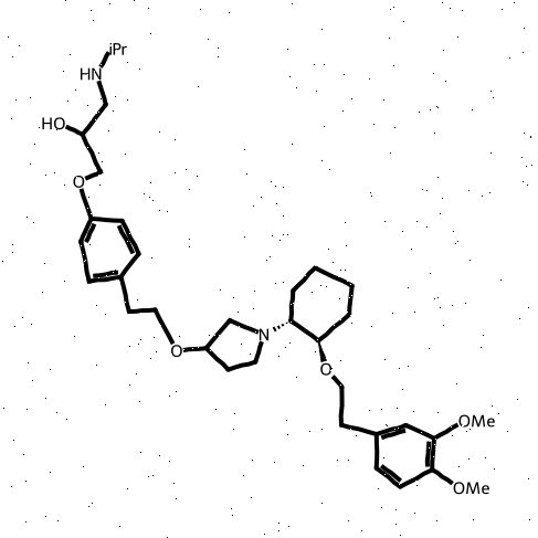 COc1ccc(CCO[C@@H]2CCCC[C@H]2N2CCC(OCCc3ccc(OCC(O)CNC(C)C)cc3)C2)cc1OC